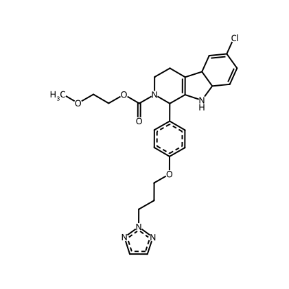 COCCOC(=O)N1CCC2=C(NC3C=CC(Cl)=CC23)C1c1ccc(OCCCn2nccn2)cc1